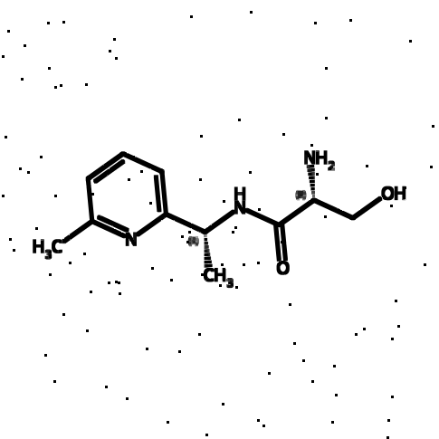 Cc1cccc([C@@H](C)NC(=O)[C@H](N)CO)n1